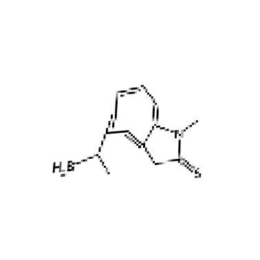 BC(C)C1=C\C=C/C=C2\C(=C\1)CC(=S)N2C